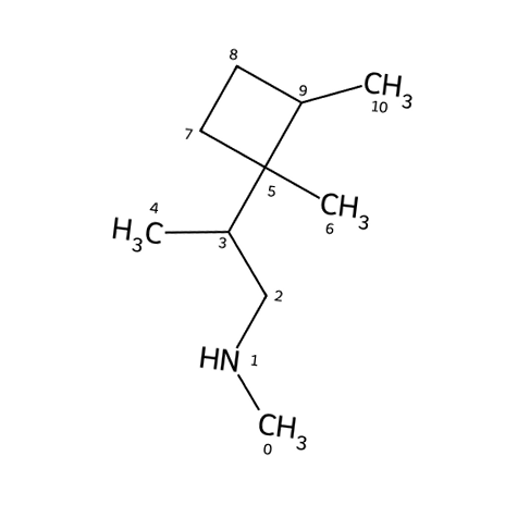 CNCC(C)C1(C)CCC1C